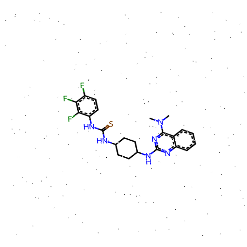 CN(C)c1nc(NC2CCC(NC(=S)Nc3ccc(F)c(F)c3F)CC2)nc2ccccc12